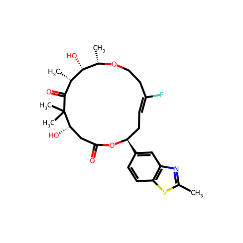 Cc1nc2cc([C@@H]3C/C=C(\F)CCO[C@@H](C)[C@@H](O)[C@@H](C)C(=O)C(C)(C)[C@@H](O)CC(=O)O3)ccc2s1